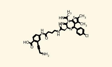 CC(=N)N1C(=N)[C@H](CC(=O)NCCCC(=O)Nc2ccc(C(=O)O)c(C#CCN)c2)N=C(c2ccc(Cl)cc2)c2c1sc(C)c2C